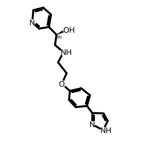 O[C@@H](CNCCOc1ccc(-c2cc[nH]n2)cc1)c1cccnc1